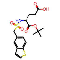 CC(C)(C)OC(=O)[C@@H](CCC(=O)O)NS(=O)(=O)Cc1ccc2sccc2c1